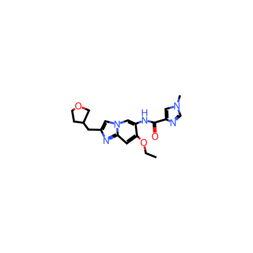 CCOc1cc2nc(CC3CCOC3)cn2cc1NC(=O)c1cn(C)cn1